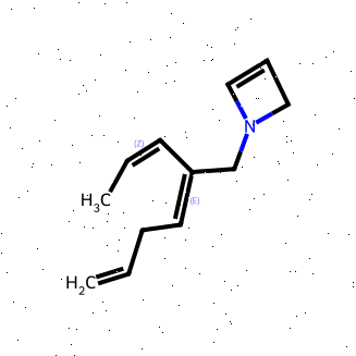 C=CC/C=C(\C=C/C)CN1C=CC1